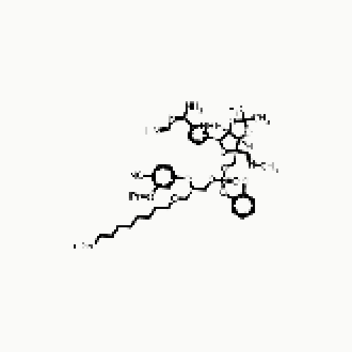 CCCCCCCCCCCCCCCCCCOC[C@H](COP(=O)(OC[C@@]1(/C=N/C)O[C@@H](c2ccc(/C(N)=N\C=N)[nH]2)[C@@H]2OC(C)(C)O[C@@H]21)Oc1ccccc1Cl)Oc1ccc(C#N)c(OC(C)C)c1